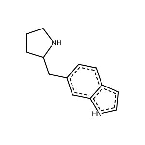 c1cc2ccc(CC3CCCN3)cc2[nH]1